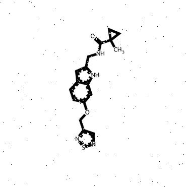 CC1(C(=O)NCc2cc3ccc(OCc4cnsn4)cc3[nH]2)CC1